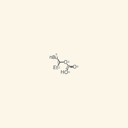 CCCCC(CC)O[P](=O)O